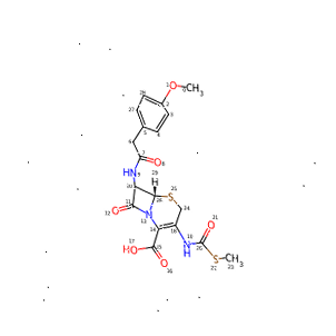 COc1ccc(CC(=O)NC2C(=O)N3C(C(=O)O)=C(NC(=O)SC)CS[C@@H]23)cc1